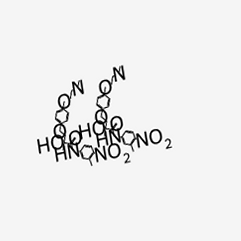 Cc1cc(NC(=O)C(C)(O)COc2ccc(OCCN(C)C)cc2)ccc1[N+](=O)[O-].Cc1cc(NC(=O)C(C)(O)COc2ccc(OCCN(C)C)cc2)ccc1[N+](=O)[O-]